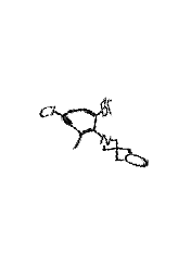 Cc1cc(Cl)cc(Br)c1N1CC2(COC2)C1